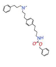 CN(CCCc1ccccc1)CCCc1ccc(CCCCNC(=O)OCc2ccccc2)cc1